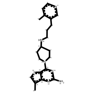 Cc1ccncc1CCCNC1CCN(c2nc(N)nc3c(C)csc23)CC1